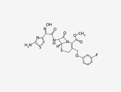 COC(=O)C1=C(COc2cccc(F)c2)CS[C@@H]2C(NC(=O)/C(=N\O)c3csc(N)n3)C(=O)N12